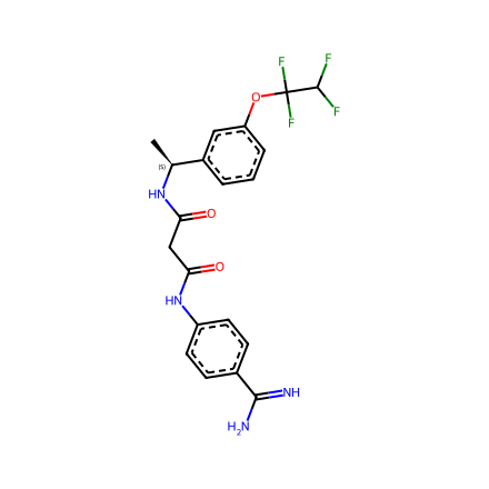 C[C@H](NC(=O)CC(=O)Nc1ccc(C(=N)N)cc1)c1cccc(OC(F)(F)C(F)F)c1